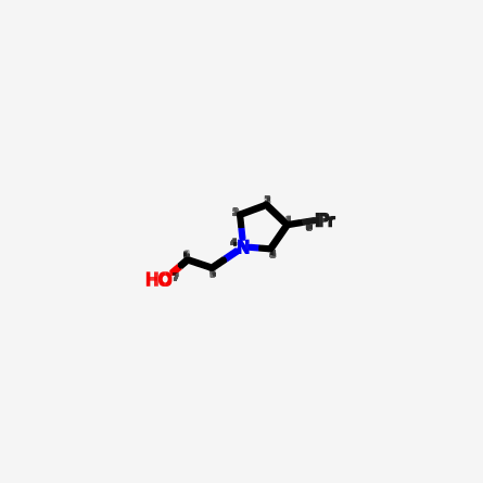 CC(C)C1CCN(CCO)C1